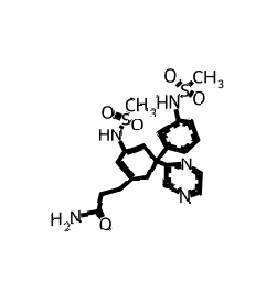 CS(=O)(=O)NC1=CC(c2cccc(NS(C)(=O)=O)c2)(c2cnccn2)CC(CCC(N)=O)=C1